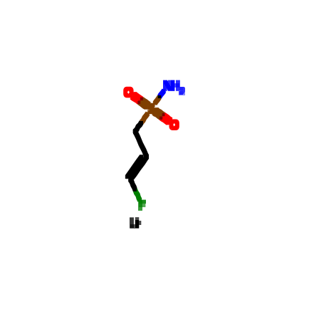 NS(=O)(=O)CC=CF.[Li]